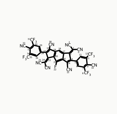 N#CC(C#N)=C1C(c2cc(C(F)(F)F)c(C#N)c(C(F)(F)F)c2)=C(C#N)c2c1cc1c(c2F)C(=C(C#N)C#N)C(c2cc(C(F)(F)F)c(C#N)c(C(F)(F)F)c2)=C1C#N